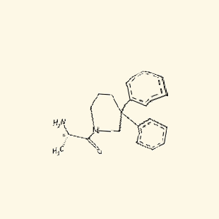 C[C@H](N)C(=O)N1CCCC(c2ccccc2)(c2ccccc2)C1